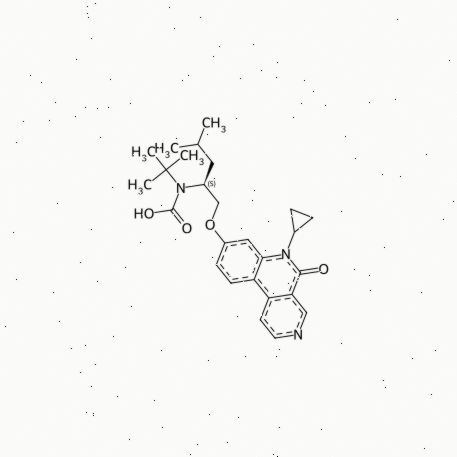 CC(C)C[C@@H](COc1ccc2c3ccncc3c(=O)n(C3CC3)c2c1)N(C(=O)O)C(C)(C)C